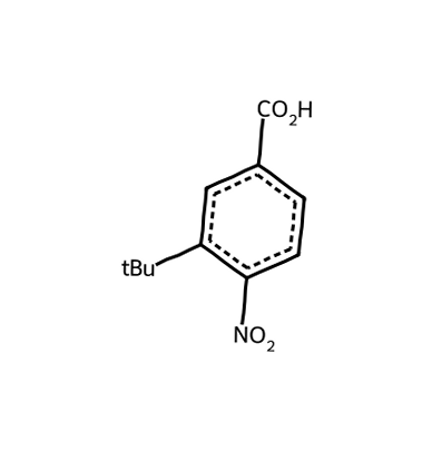 CC(C)(C)c1cc(C(=O)O)ccc1[N+](=O)[O-]